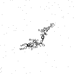 CCC1=C([C@H](CNC(=O)[C@H](C)NC(=O)OCc2ccc(NC(=O)[C@H](CCCNC(N)=O)NC(=O)[C@@H](N)C(C)C)cc2)N2C[C@@H]3c4cc(O)c(OC)c(C)c4C[C@@H]([C@@H]2O)N3C)C(=O)C(OC)=C(C)C1=O